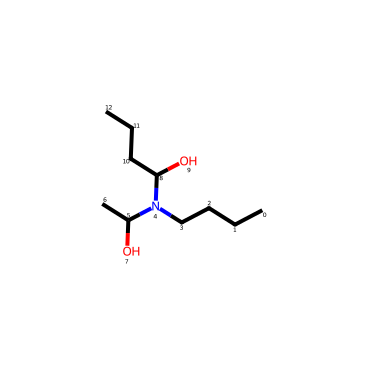 CCCCN(C(C)O)C(O)CCC